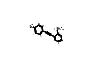 CC(=O)Nc1ccccc1C#Cc1ccc(Br)cc1